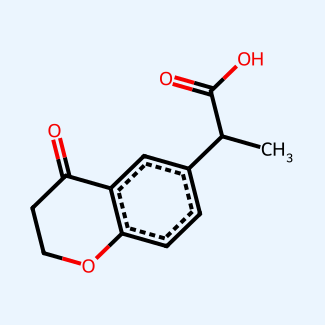 CC(C(=O)O)c1ccc2c(c1)C(=O)CCO2